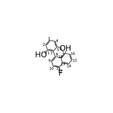 Oc1cccc(O)c1-c1ccc(F)c2ccccc12